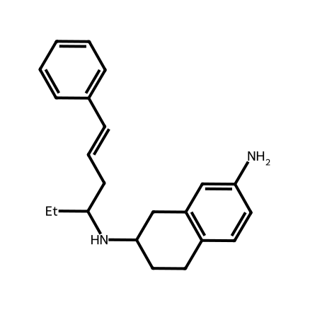 CCC(CC=Cc1ccccc1)NC1CCc2ccc(N)cc2C1